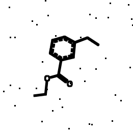 CCOC(=O)c1cccc(CC)c1